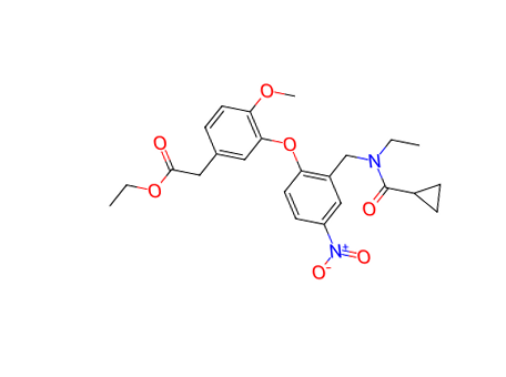 CCOC(=O)Cc1ccc(OC)c(Oc2ccc([N+](=O)[O-])cc2CN(CC)C(=O)C2CC2)c1